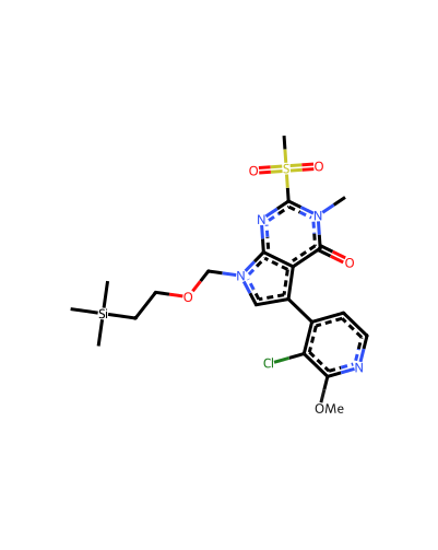 COc1nccc(-c2cn(COCC[Si](C)(C)C)c3nc(S(C)(=O)=O)n(C)c(=O)c23)c1Cl